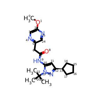 COc1cnc(CC(=O)Nc2cc([C@H]3C[CH]CC3)nn2C(C)(C)C)cn1